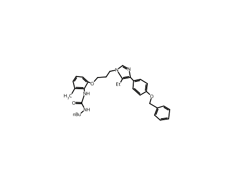 CCCCNC(=O)Nc1c(C)cccc1OCCCn1cnc(-c2ccc(OCc3ccccc3)cc2)c1CC